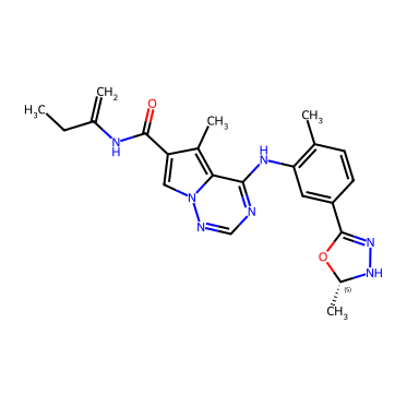 C=C(CC)NC(=O)c1cn2ncnc(Nc3cc(C4=NN[C@H](C)O4)ccc3C)c2c1C